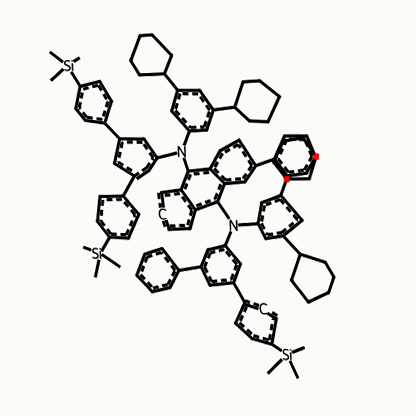 C[Si](C)(C)c1ccc(-c2cc(-c3ccc([Si](C)(C)C)cc3)cc(N(c3cc(C4CCCCC4)cc(C4CCCCC4)c3)c3c4ccccc4c(N(c4cc(-c5ccccc5)cc(-c5ccc([Si](C)(C)C)cc5)c4)c4cc(C5CCCCC5)cc(C5CCCCC5)c4)c4cc(-c5ccccc5)ccc34)c2)cc1